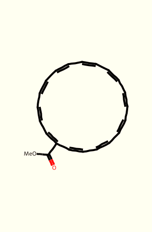 COC(=O)C1=CC=CC=CC=CC=CC=CC=CC=CC=CC=C1